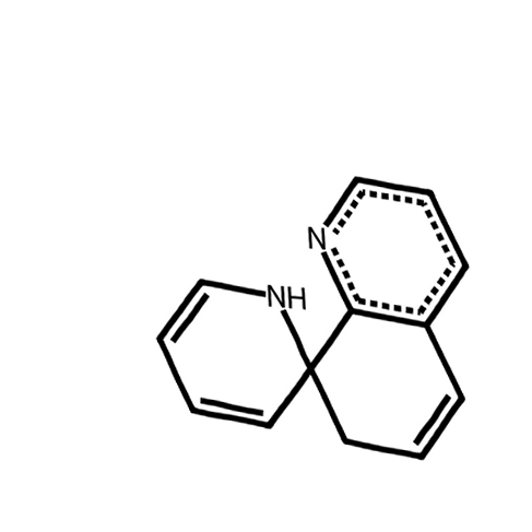 C1=CNC2(C=C1)CC=Cc1cccnc12